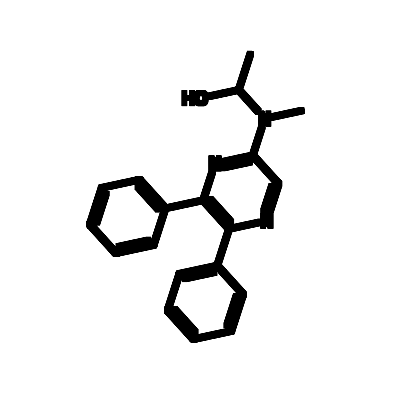 CC(O)N(C)c1cnc(-c2ccccc2)c(-c2ccccc2)n1